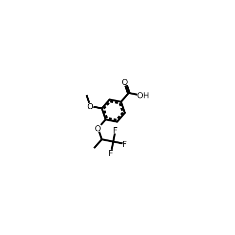 COc1cc(C(=O)O)ccc1OC(C)C(F)(F)F